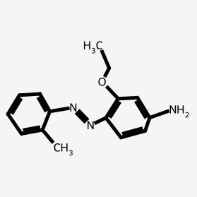 CCOc1cc(N)ccc1N=Nc1ccccc1C